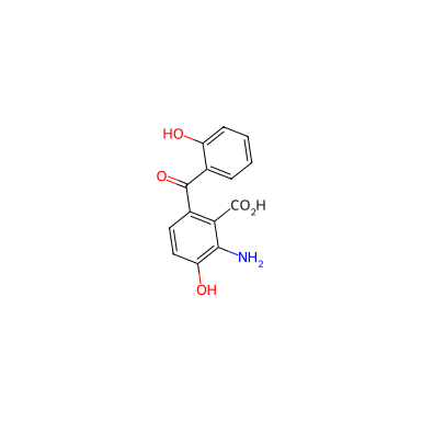 Nc1c(O)ccc(C(=O)c2ccccc2O)c1C(=O)O